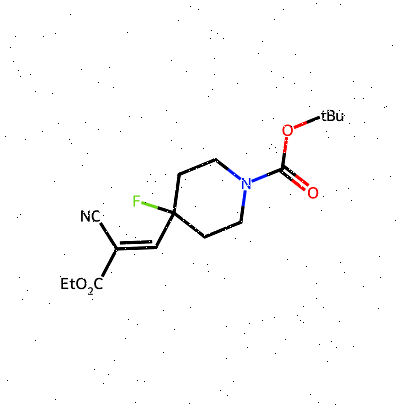 CCOC(=O)C(C#N)=CC1(F)CCN(C(=O)OC(C)(C)C)CC1